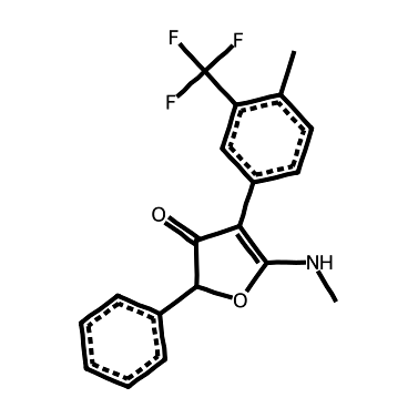 CNC1=C(c2ccc(C)c(C(F)(F)F)c2)C(=O)C(c2ccccc2)O1